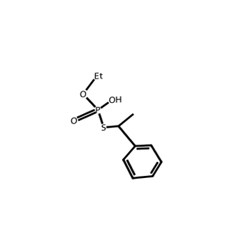 CCOP(=O)(O)SC(C)c1ccccc1